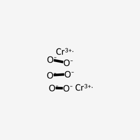 [Cr+3].[Cr+3].[O-][O-].[O-][O-].[O-][O-]